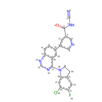 N#CNC(=O)c1cncc(-c2ccc3ncnc(N4CCc5cc(F)c(Cl)cc54)c3c2)c1